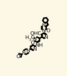 CN1CC(c2cncc(-n3ccn4c5c(cc4c3=O)CCCC5)c2C=O)C=C(Nc2ccc(N3CCN(C4COC4)CC3)cn2)C1=O